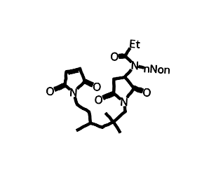 CCCCCCCCCN(C(=O)CC)C1CC(=O)N(CC(C)(C)CC(C)CCN2C(=O)C=CC2=O)C1=O